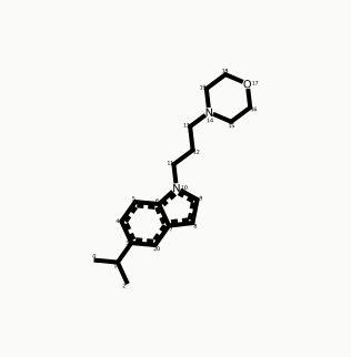 CC(C)c1ccc2c(ccn2CCCN2CCOCC2)c1